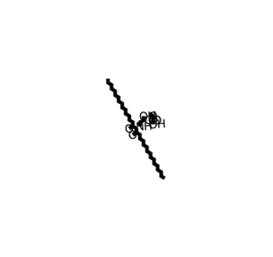 CCCCCCCCCCCCCCCC(=O)C(NCCO)C(=O)CCCCCCCCCCCCCCC.COS(=O)(=O)O